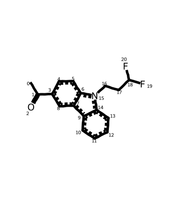 CC(=O)c1ccc2c(c1)c1ccccc1n2CCC(F)F